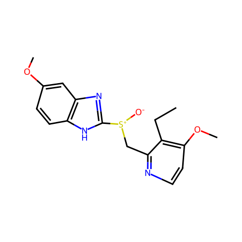 CCc1c(OC)ccnc1C[S+]([O-])c1nc2cc(OC)ccc2[nH]1